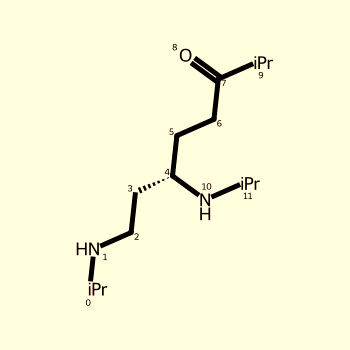 CC(C)NCC[C@H](CCC(=O)C(C)C)NC(C)C